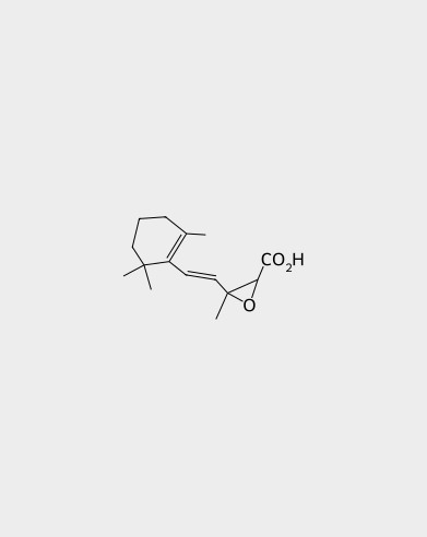 CC1=C(/C=C/C2(C)OC2C(=O)O)C(C)(C)CCC1